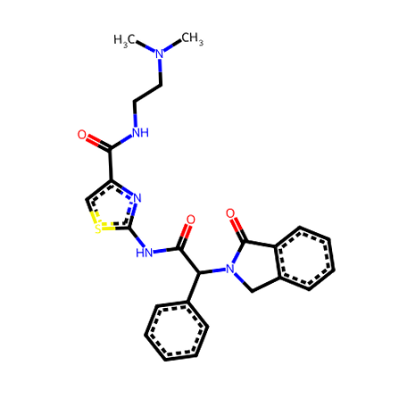 CN(C)CCNC(=O)c1csc(NC(=O)C(c2ccccc2)N2Cc3ccccc3C2=O)n1